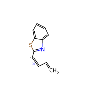 C=C/C=[C]\c1nc2ccccc2s1